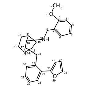 COc1ccccc1CNC1C2CCN(CC2)C1Cc1ccccc1-c1ccco1